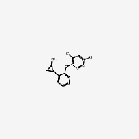 CC1CC1c1ccccc1Oc1nnc(Cl)cc1O